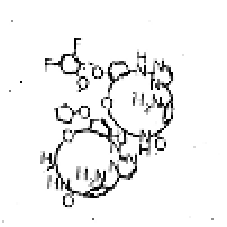 COc1cc(F)cc(F)c1COc1ccc2cc1COCC[C@H](CN1c3ccc(OC4CCCC4)c(c3)COCC[C@H](C)CNC(=O)c3ccc(c(N)c3)-c3ccnc1n3)CNC(=O)c1ccc(c(N)c1)-c1ccnc(n1)N2